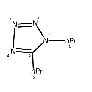 [CH2]CCn1nnnc1CCC